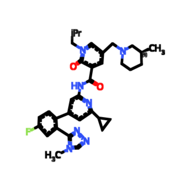 CC(C)Cn1cc(CN2CCC[C@H](C)C2)cc(C(=O)Nc2cc(-c3ccc(F)cc3-c3nncn3C)cc(C3CC3)n2)c1=O